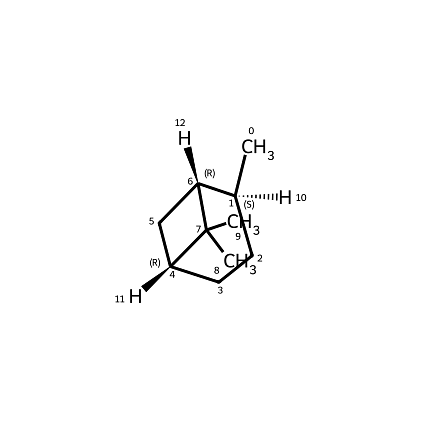 C[C@H]1CC[C@@H]2C[C@H]1C2(C)C